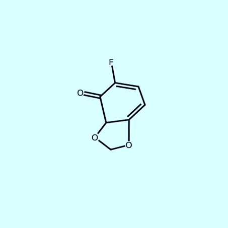 O=C1C(F)=CC=C2OCOC12